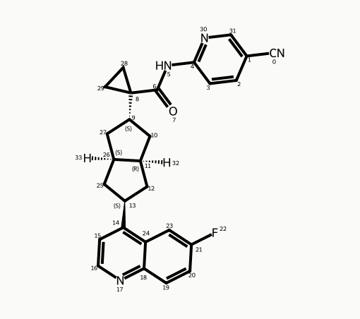 N#Cc1ccc(NC(=O)C2([C@@H]3C[C@H]4C[C@@H](c5ccnc6ccc(F)cc56)C[C@H]4C3)CC2)nc1